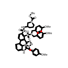 COc1ccc(CN(Cc2ccc(OC)cc2)S(=O)(=O)c2c(S(=O)(=O)NC3CCCN(C(=O)OC(C)(C)C)C3)ccc(-c3cccc4[nH]c(N)nc34)c2-c2nnn(Cc3ccc(OC)cc3)n2)cc1